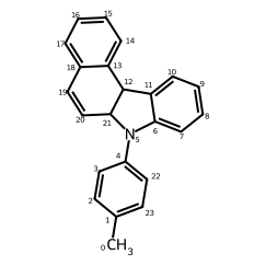 Cc1ccc(N2c3ccccc3C3c4ccccc4C=CC32)cc1